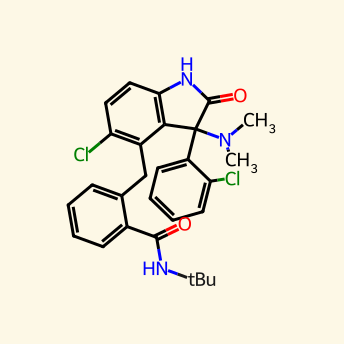 CN(C)C1(c2ccccc2Cl)C(=O)Nc2ccc(Cl)c(Cc3ccccc3C(=O)NC(C)(C)C)c21